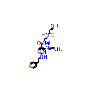 CCCNc1nc(NCCc2ccncc2)ncc1C(=O)NCCNC(=O)CCN